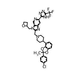 CC1(c2ccc(Cl)cc2)Oc2cccc(C3CCN(Cc4nc5cc(-c6nnc(C(F)(F)F)[nH]6)ncc5n4CC4CCO4)CC3)c2O1